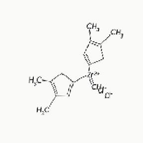 [CH2]=[Zr+2]([C]1=CC(C)=C(C)C1)[C]1=CC(C)=C(C)C1.[Cl-].[Cl-]